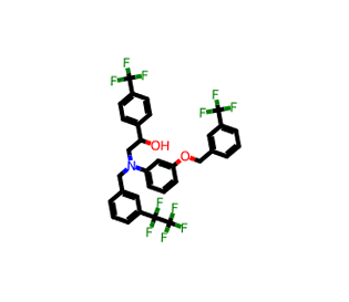 OC(CN(Cc1cccc(C(F)(F)C(F)(F)F)c1)c1cccc(OCc2cccc(C(F)(F)F)c2)c1)c1ccc(C(F)(F)F)cc1